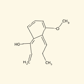 C=C/C(O)=c1/cccc(OC)/c1=C/CC